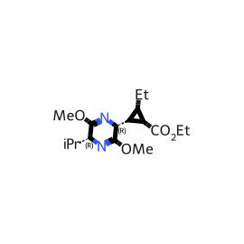 CCOC(=O)C1C(CC)C1[C@H]1N=C(OC)[C@@H](C(C)C)N=C1OC